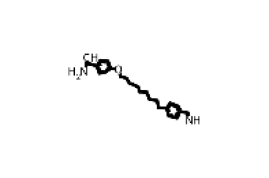 C=C(N)c1ccc(OCCCCCCCCCc2ccc(C=N)cc2)cc1